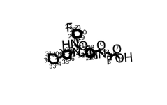 O=C(NCC(F)C(=O)O)c1ccc(CN(C(=O)Nc2cccc(F)c2)c2ccc(C3CCCCC3)cc2)cc1